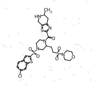 CC1Cc2nc(C(=O)N3CCN(S(=O)(=O)c4cc5ccc(Cl)cc5s4)CC3CCS(=O)(=O)N3CCOCC3)sc2CN1